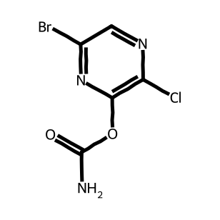 NC(=O)Oc1nc(Br)cnc1Cl